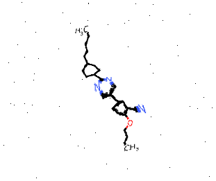 CCCCCC1CCC(c2ncc(-c3ccc(OCCCC)c(C#N)c3)cn2)CC1